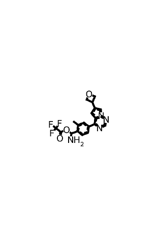 Cc1cc(-c2ncnn3cc(C4COC4)cc23)ccc1C(N)OC(=O)C(F)(F)F